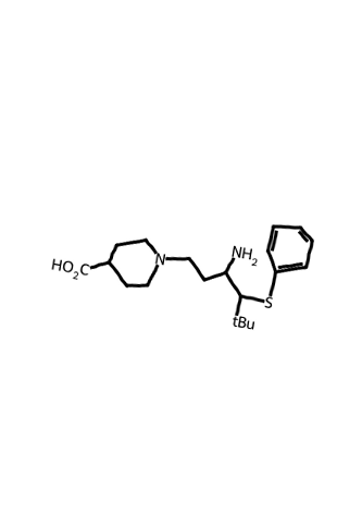 CC(C)(C)C(Sc1ccccc1)C(N)CCN1CCC(C(=O)O)CC1